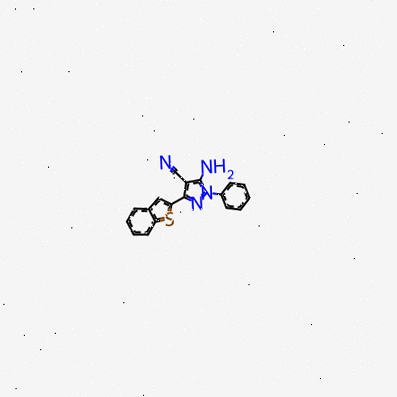 N#Cc1c(-c2cc3ccccc3s2)nn(-c2ccccc2)c1N